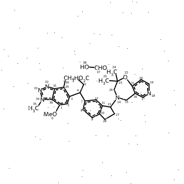 COc1cc(C(CC(=O)O)c2ccc3c(c2)C(N2Cc4cnccc4OC(C)(C)C2)CC3)c(C)c2nnn(C)c12.O=CO